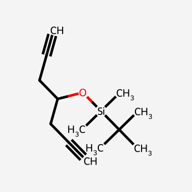 C#CCC(CC#C)O[Si](C)(C)C(C)(C)C